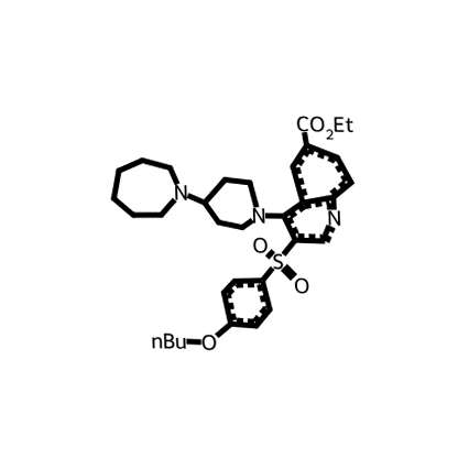 CCCCOc1ccc(S(=O)(=O)c2cnc3ccc(C(=O)OCC)cc3c2N2CCC(N3CCCCCC3)CC2)cc1